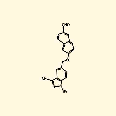 CC(C)n1nc(Cl)c2cc(COc3ccc4cc(C=O)ccc4c3)ccc21